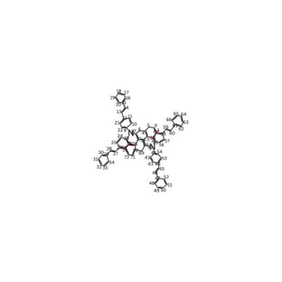 C1=CCC2=C(C1)CC(N(c1ccc(C=Cc3ccccc3)cc1)c1ccc(C=Cc3ccccc3)cc1)=C1C2=C(N(c2ccc(C=Cc3ccccc3)cc2)c2ccc(C=Cc3ccccc3)cc2)Cc2ccccc21